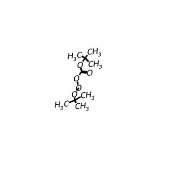 CC(C)(C)OOOC(=O)OC(C)(C)C